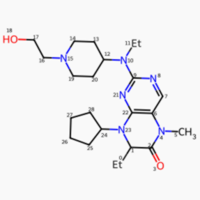 CCC1C(=O)N(C)c2cnc(N(CC)C3CCN(CCO)CC3)nc2N1C1CCCC1